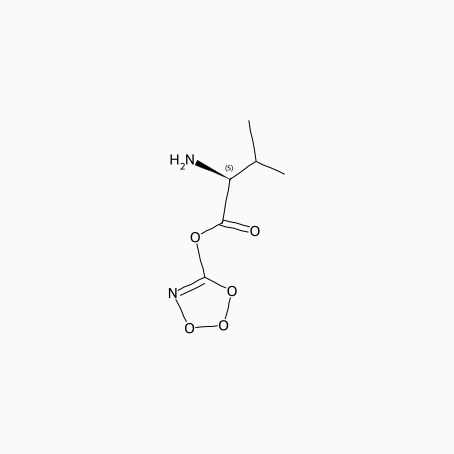 CC(C)[C@H](N)C(=O)OC1=NOOO1